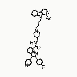 CC(=O)c1nccc2c3ccccc3n(CCCCN3CCC(CNC(=O)c4cccc5c(-c6ccncc6)c(-c6ccc(F)cc6)nn45)CC3)c12